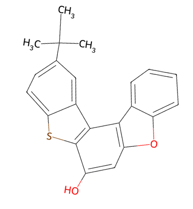 CC(C)(C)c1ccc2sc3c(O)cc4oc5ccccc5c4c3c2c1